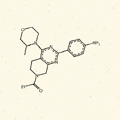 CCC(=O)N1CCc2c(nc(-c3ccc(N)cc3)nc2N2CCOCC2C)C1